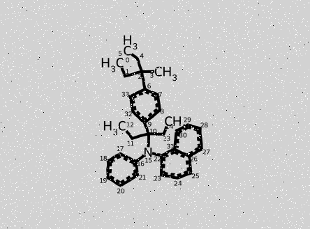 CCC(C)(CC)c1ccc(C(CC)(CC)N(c2ccccc2)c2cccc3ccccc23)cc1